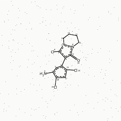 Nc1cc(-c2c(Cl)n3n(c2=O)CCCC3)c(Cl)cc1Cl